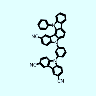 N#Cc1ccc2c(c1)c1cc(C#N)ccc1n2-c1cccc(-n2c3ccc(C#N)cc3c3c2ccc2c4ccccc4n(-c4ccccc4)c23)c1